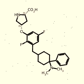 CN(C)C1(c2ccccc2)CCC(Cc2cc(F)cc(O[C@@H]3CN[C@H](C(=O)O)C3)c2F)CC1